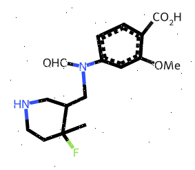 COc1cc(N(C=O)CC2CNCCC2(C)F)ccc1C(=O)O